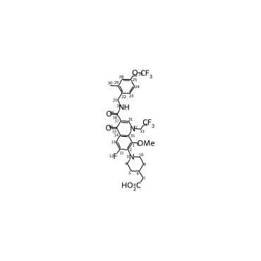 COc1c(N2CCC(CC(=O)O)CC2)c(F)cc2c(=O)c(C(=O)NCc3ccc(OC(F)(F)F)cc3C)cn(CC(F)(F)F)c12